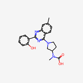 Cc1ccc2c(N3CCC(N(C)C(=O)O)C3)nc(-c3ccccc3O)nc2c1